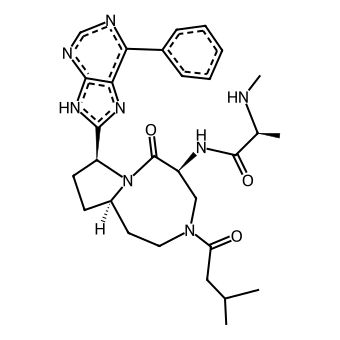 CN[C@@H](C)C(=O)N[C@H]1CN(C(=O)CC(C)C)CC[C@H]2CC[C@@H](c3nc4c(-c5ccccc5)ncnc4[nH]3)N2C1=O